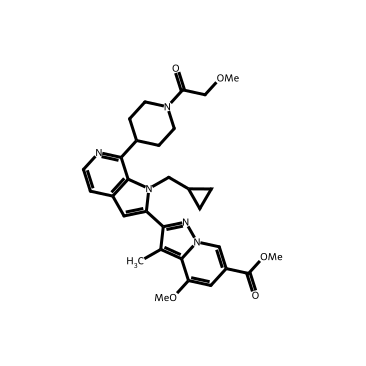 COCC(=O)N1CCC(c2nccc3cc(-c4nn5cc(C(=O)OC)cc(OC)c5c4C)n(CC4CC4)c23)CC1